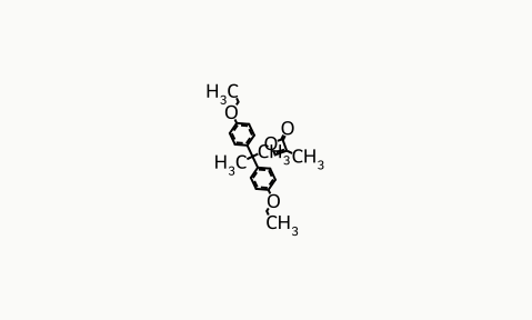 CC1=COC1=O.CCOc1ccc(C(C)(C)c2ccc(OCC)cc2)cc1